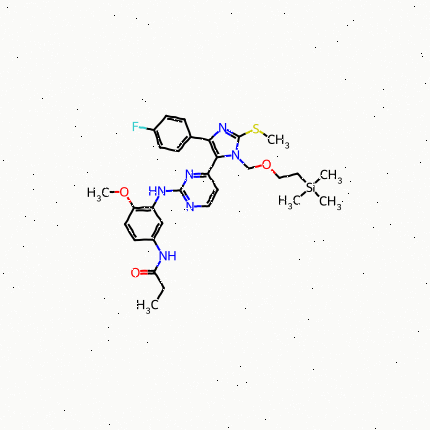 CCC(=O)Nc1ccc(OC)c(Nc2nccc(-c3c(-c4ccc(F)cc4)nc(SC)n3COCC[Si](C)(C)C)n2)c1